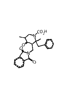 CC1CN(C(=O)O)C(C)(Cc2ccccc2)C(CN2C(=O)c3ccccc3C2=O)C1=O